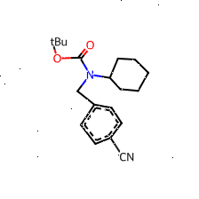 CC(C)(C)OC(=O)N(Cc1ccc(C#N)cc1)C1CCCCC1